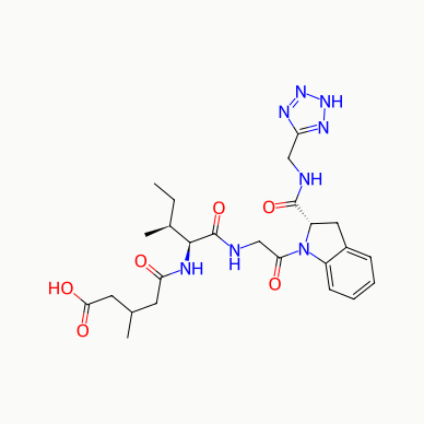 CC[C@H](C)[C@H](NC(=O)CC(C)CC(=O)O)C(=O)NCC(=O)N1c2ccccc2C[C@H]1C(=O)NCc1nn[nH]n1